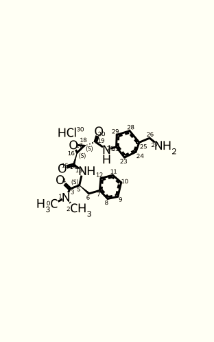 CN(C)C(=O)[C@H](Cc1ccccc1)NC(=O)[C@H]1O[C@@H]1C(=O)Nc1ccc(CN)cc1.Cl